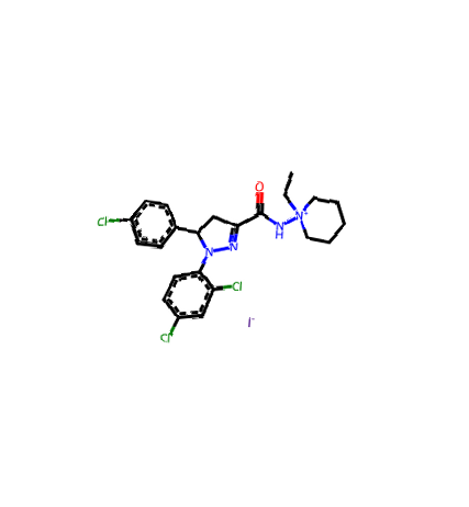 CC[N+]1(NC(=O)C2=NN(c3ccc(Cl)cc3Cl)C(c3ccc(Cl)cc3)C2)CCCCC1.[I-]